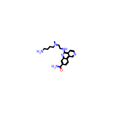 CN(CCCCN)CCNc1nc2cc(C(N)=O)ccc2c2cnccc12